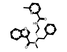 Cc1cccc(C(=O)NCC[C@H](Cc2ccccc2)N(C)C(=O)c2coc3ccccc23)n1